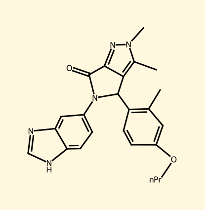 CCCOc1ccc(C2c3c(nn(C)c3C)C(=O)N2c2ccc3[nH]cnc3c2)c(C)c1